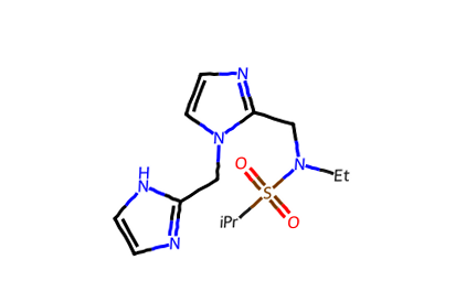 CCN(Cc1nccn1Cc1ncc[nH]1)S(=O)(=O)C(C)C